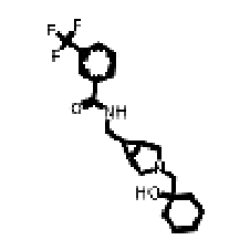 O=C(NCC1C2CN(CC3(O)CCCCC3)CC12)c1cccc(C(F)(F)F)c1